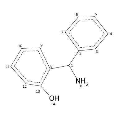 NC(c1ccccc1)c1ccccc1O